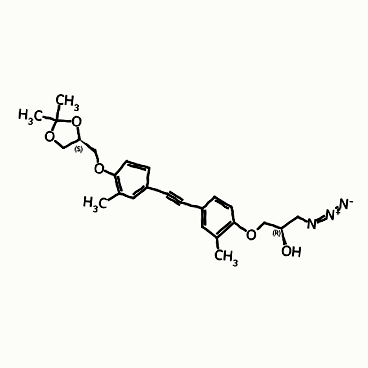 Cc1cc(C#Cc2ccc(OC[C@H]3COC(C)(C)O3)c(C)c2)ccc1OC[C@H](O)CN=[N+]=[N-]